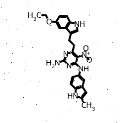 CCOc1ccc2[nH]cc(CCc3nc(N)nc(Nc4ccc5[nH]c(C)cc5c4)c3[N+](=O)[O-])c2c1